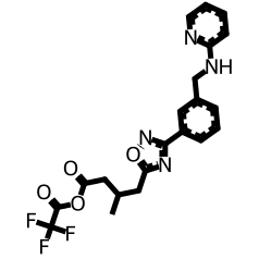 CC(CC(=O)OC(=O)C(F)(F)F)Cc1nc(-c2cccc(CNc3ccccn3)c2)no1